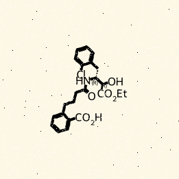 CCOC(=O)[C@H](O)[C@@H](Cc1ccccc1Cl)NC(=O)CCCc1ccccc1C(=O)O